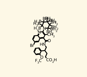 BC1(B)N(c2nc3ccc(Br)cc3c(C(=O)NCC(CCC(=O)O)c3ccccc3OC(F)(F)F)c2C)C(B)(B)C(B)(B)C(B)(B)C1(B)B